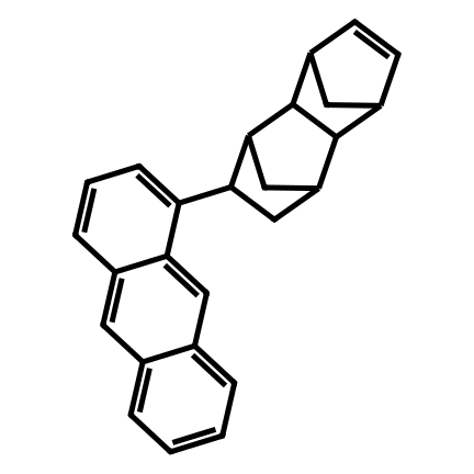 C1=CC2CC1C1C3CC(c4cccc5cc6ccccc6cc45)C(C3)C21